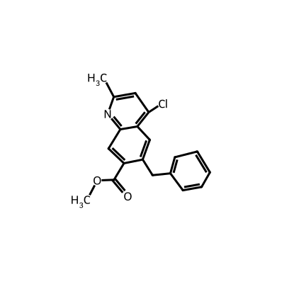 COC(=O)c1cc2nc(C)cc(Cl)c2cc1Cc1ccccc1